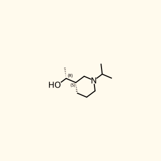 CC(C)N1CCC[C@H]([C@@H](C)O)C1